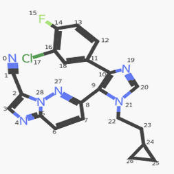 N#Cc1cnc2ccc(-c3c(-c4ccc(F)c(Cl)c4)ncn3CCC3CC3)nn12